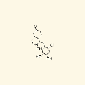 CN1CCC2=C(CCC(=O)C2)C1Cc1cc(O)c(O)cc1Cl